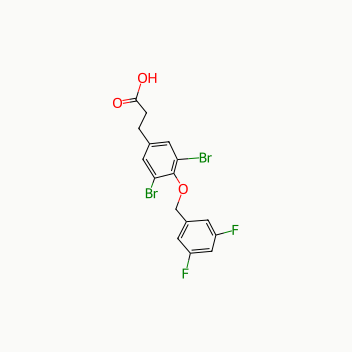 O=C(O)CCc1cc(Br)c(OCc2cc(F)cc(F)c2)c(Br)c1